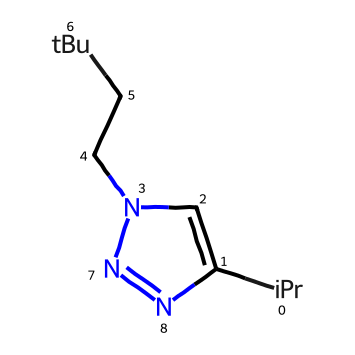 CC(C)c1cn(CCC(C)(C)C)nn1